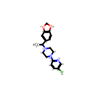 CC(c1ccc2c(c1)OCO2)N1CCN(c2ccc(Br)cn2)CC1